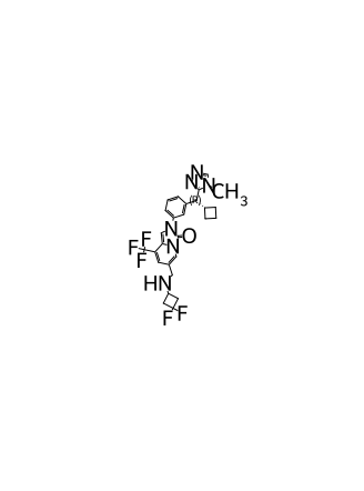 Cn1cnnc1[C@@H](c1cccc(-n2cc3c(C(F)(F)F)cc(CNC4CC(F)(F)C4)cn3c2=O)c1)C1CCC1